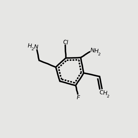 C=Cc1c(F)cc(CN)c(Cl)c1N